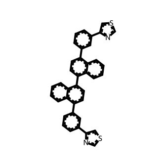 c1cc(-c2cscn2)cc(-c2ccc(-c3ccc(-c4cccc(-c5cscn5)c4)c4ccccc34)c3ccccc23)c1